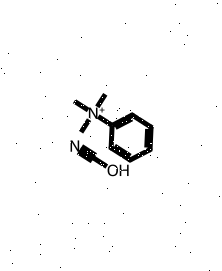 C[N+](C)(C)c1ccccc1.N#CO